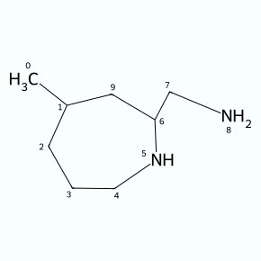 CC1CCCNC(CN)C1